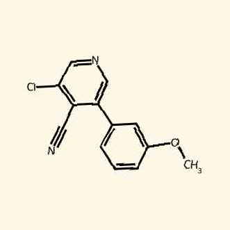 COc1cccc(-c2cncc(Cl)c2C#N)c1